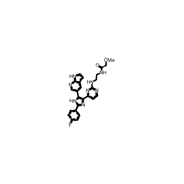 COCC(=O)NCCNc1nccc(-c2nc(-c3ccc(F)cc3)[nH]c2-c2cnc3[nH]ccc3c2)n1